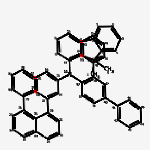 CC1(C)c2ccccc2-c2cccc(N(c3cccc(-c4cccc5cccc(-c6ccccc6)c45)c3)c3ccc(-c4ccccc4)cc3-c3ccccc3)c21